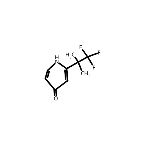 CC(C)(c1cc(=O)cc[nH]1)C(F)(F)F